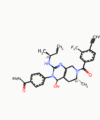 C#Cc1ccc(C(=O)N2CC3=C(C[C@H]2C)C(O)N(c2ccc(C(=O)NC)cc2)C(N[C@@H](C)C=C)=N3)cc1C(F)(F)F